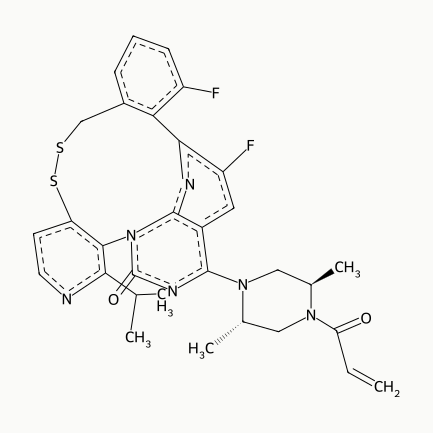 C=CC(=O)N1C[C@H](C)N(c2nc(=O)n3c4nc(c(F)cc24)-c2c(F)cccc2CSSc2ccnc(C(C)C)c2-3)C[C@H]1C